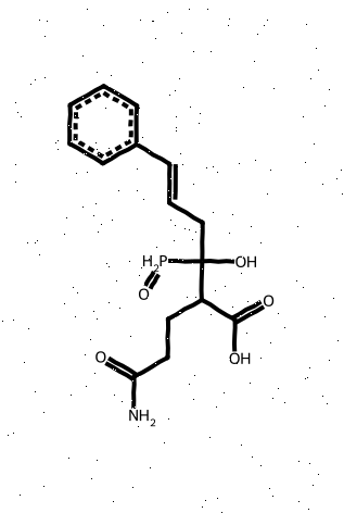 NC(=O)CCC(C(=O)O)C(O)(CC=Cc1ccccc1)[PH2]=O